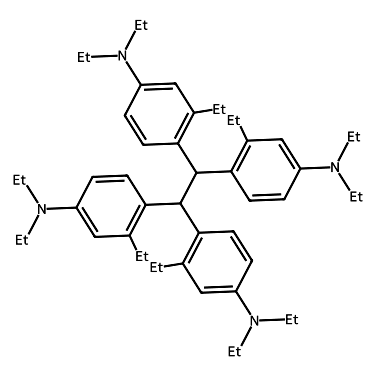 CCc1cc(N(CC)CC)ccc1C(c1ccc(N(CC)CC)cc1CC)C(c1ccc(N(CC)CC)cc1CC)c1ccc(N(CC)CC)cc1CC